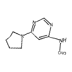 O=CNc1cc(N2CCCC2)ncn1